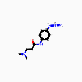 CN(C)CCC(=O)Nc1ccc(N=[N+]=[N-])cc1